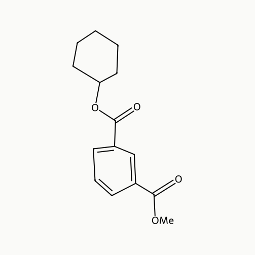 COC(=O)c1cccc(C(=O)OC2CCCCC2)c1